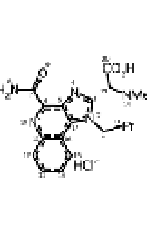 CC(C)Cn1cnc2c(C(N)=O)nc3ccccc3c21.CNCC(=O)O.Cl